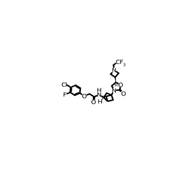 O=C(COc1ccc(Cl)c(F)c1)N[C@H]1CC2(N3C[C@@H](C4CN(CC(F)(F)F)C4)OC3=O)CC1C2